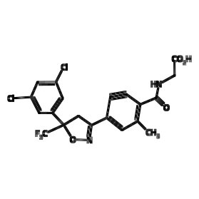 Cc1cc(C2=NOC(c3cc(Cl)cc(Cl)c3)(C(F)(F)F)C2)c#cc1C(=O)NCC(=O)O